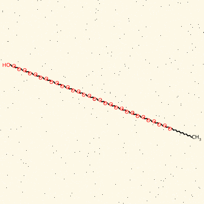 CCCCCCCCCCCCCOCCOCCOCCOCCOCCOCCOCCOCCOCCOCCOCCOCCOCCOCCOCCOCCOCCOCCOCCOCCOCCOCCOCCOCCOCCOCCOCCOCCOCCOCCO